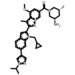 COc1cc(C(=O)N2C[C@H](N)C[C@@H](F)C2)cn2nc(-c3cc4ccc(-c5cnn(C(C)C)c5)cc4n3CC3CC3)c(C)c12